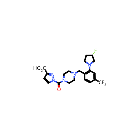 O=C(O)c1ccn(C(=O)N2CCN(Cc3ccc(C(F)(F)F)cc3N3CC[C@H](F)C3)CC2)n1